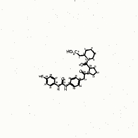 O=C(O)CC1CCCCN1C(=O)C1CCCN1C(=O)Cc1ccc(NC(=O)Nc2ccc(F)cc2)cc1